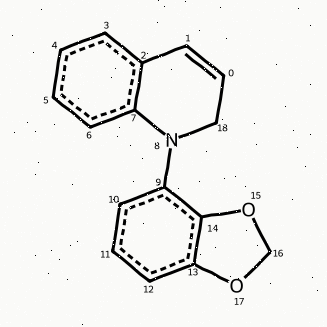 C1=Cc2ccccc2N(c2cccc3c2OCO3)C1